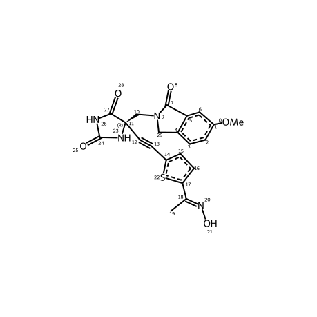 COc1ccc2c(c1)C(=O)N(C[C@@]1(C#Cc3ccc(C(C)=NO)s3)NC(=O)NC1=O)C2